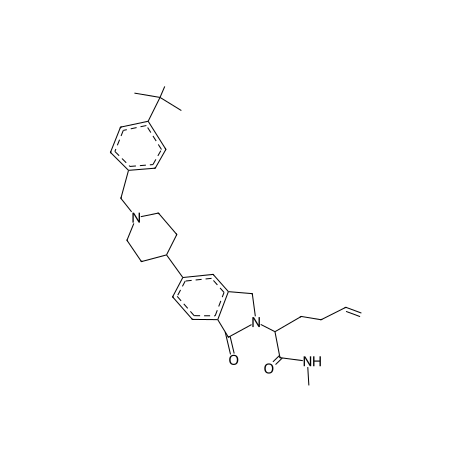 C=CCCC(C(=O)NC)N1Cc2cc(C3CCN(Cc4ccc(C(C)(C)C)cc4)CC3)ccc2C1=O